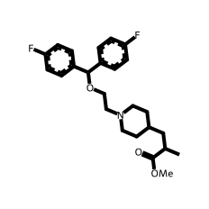 COC(=O)C(C)CC1CCN(CCOC(c2ccc(F)cc2)c2ccc(F)cc2)CC1